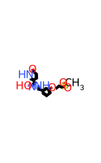 CS(=O)(=O)CCCOc1cccc(CNC(=NO)c2ccc(=O)[nH]c2)c1